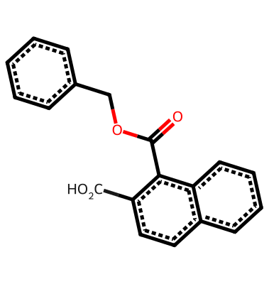 O=C(O)c1ccc2ccccc2c1C(=O)OCc1ccccc1